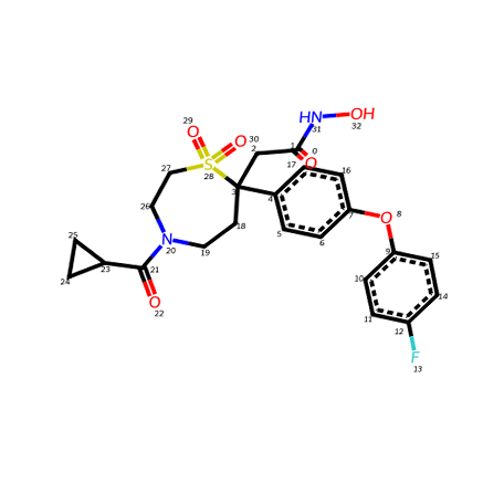 O=C(CC1(c2ccc(Oc3ccc(F)cc3)cc2)CCN(C(=O)C2CC2)CCS1(=O)=O)NO